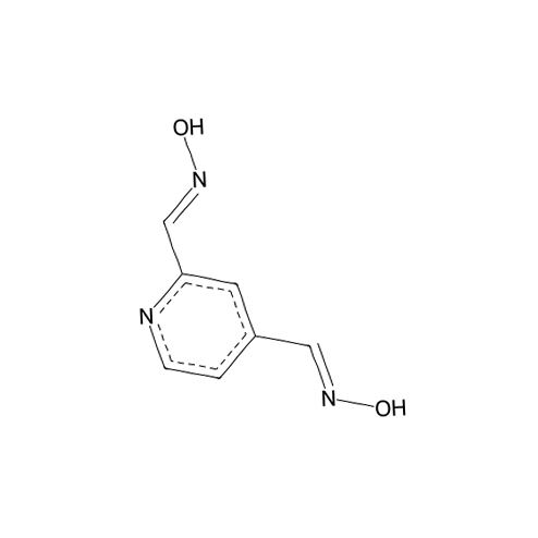 ON=Cc1ccnc(C=NO)c1